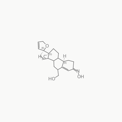 C[C@]12CCC3C(CC(CO)C4=CC(=NO)CC[C@@H]43)C1CC[C@@]21C=CCO1